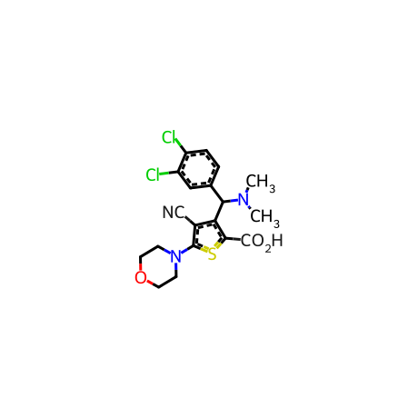 CN(C)C(c1ccc(Cl)c(Cl)c1)c1c(C(=O)O)sc(N2CCOCC2)c1C#N